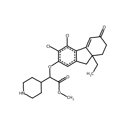 CCC12CCC(=O)C=C1c1c(cc(OC(C(=O)OC)C3CCNCC3)c(Cl)c1Cl)C2